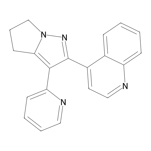 c1ccc(-c2c(-c3ccnc4ccccc34)nn3c2CCC3)nc1